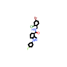 O=C(NCc1ccc(Br)cc1Cl)c1cccc2c1cnn2-c1ccc(F)cc1